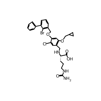 NC(=O)NCCC[C@H](NCc1cc(Cl)c(OCc2cccc(-c3ccccc3)c2Br)cc1OCC1CC1)C(=O)O